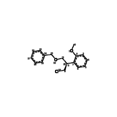 COc1ccccc1[C@@H](CCl)COCc1ccccc1